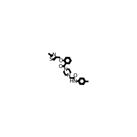 Cc1ccc(NC(=O)CN2CCN(C(=O)c3ccccc3OCc3csc(C)n3)CC2)cc1